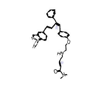 CN(C)C(=O)/C=C/CNCCOc1ccc(/C=C(\CCc2ccc3[nH]ncc3c2)c2ccccc2)cc1